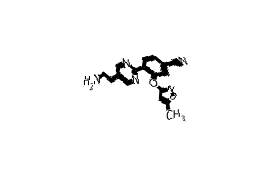 Cc1cc(Oc2cc(C#N)ccc2-c2ncc(CCN)cn2)no1